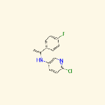 C=C(Nc1ccc(Cl)nc1)c1ccc(F)cc1